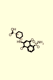 NS(=O)(=O)c1cccc2c1C(=O)C=C(N[C@H]1CCC[C@@H](C(=O)O)C1)C2=O